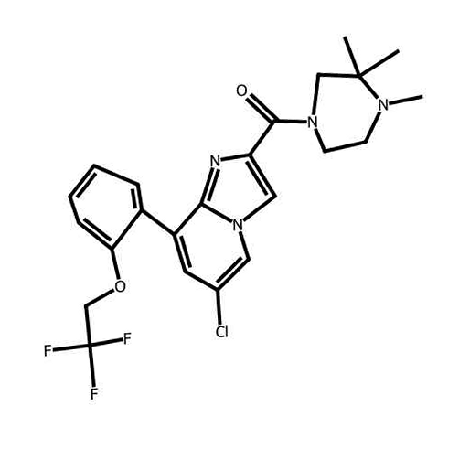 CN1CCN(C(=O)c2cn3cc(Cl)cc(-c4ccccc4OCC(F)(F)F)c3n2)CC1(C)C